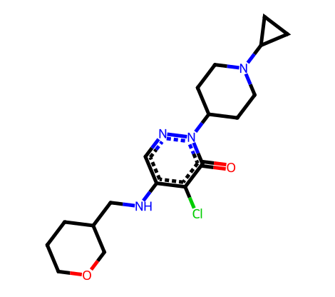 O=c1c(Cl)c(NCC2CCCOC2)cnn1C1CCN(C2CC2)CC1